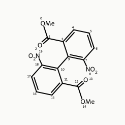 COC(=O)c1cccc([N+](=O)[O-])c1-c1c(C(=O)OC)cccc1[N+](=O)[O-]